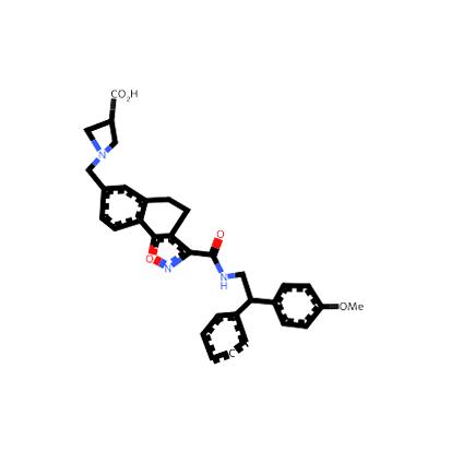 COc1ccc(C(CNC(=O)c2noc3c2CCc2cc(CN4CC(C(=O)O)C4)ccc2-3)c2ccccc2)cc1